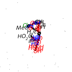 COc1ccc(C[C@H]2NC(=O)/C=C/C[C@@H](C(C)[C@H]3O[C@@H]3c3ccc(CNC(=O)C(CCC(=O)NCC(O)C(O)C(O)C(O)CO)NC(=O)C(NC(=O)CCCC(=O)O)C(C)C)cc3)OC(=O)[C@H](CC(C)C)OC(=O)C(C)(C)CNC2=O)cc1Cl